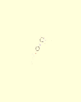 CCCCCCn1c(O)c(/N=N/c2ccc(S(=O)(=O)NCCOCCO)cc2)c(C)c(C)c1=O